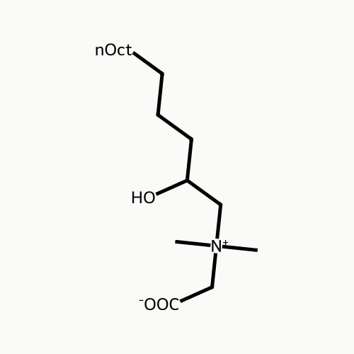 CCCCCCCCCCCC(O)C[N+](C)(C)CC(=O)[O-]